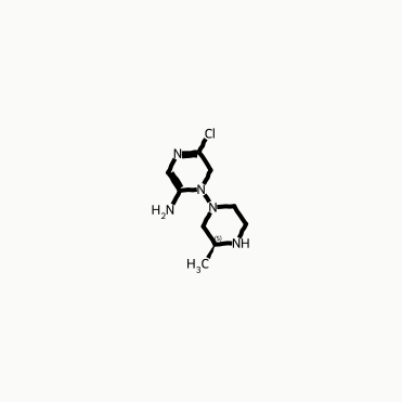 C[C@H]1CN(N2CC(Cl)=NC=C2N)CCN1